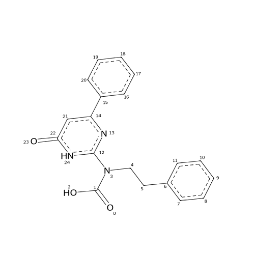 O=C(O)N(CCc1ccccc1)c1nc(-c2ccccc2)cc(=O)[nH]1